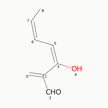 C=C(C=O)/C(O)=C\C=C/C